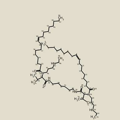 CCCCCCCC/C=C\CCCCCCCC(=O)N(CCCNCC)C(C(=O)NCCCCCCNC(=O)C(C(C)C)N(CCCNCC)C(=O)CCCCCCC/C=C\CCCCCCCC)C(C)C